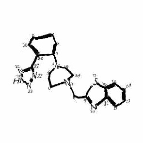 c1ccc(N2CCN(Cc3nc4ccccc4s3)CC2)c(-c2nn[nH]n2)c1